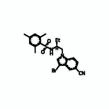 CC[C@@H](Cn1cc(Br)c2cc(C#N)ccc21)NS(=O)(=O)c1c(C)cc(C)cc1C